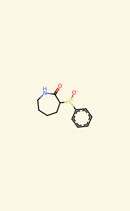 O=C1NCCCCC1[S+]([O-])c1ccccc1